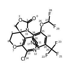 O=C1OC[C@@]2(CCOc3c2ccnc3Cl)N1c1ncc(C(F)(F)F)cc1OC(F)F